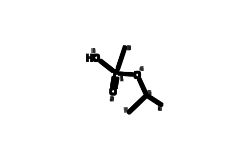 [CH2]P(=O)(O)OC(C)C